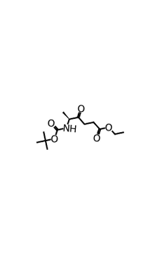 CCOC(=O)CCC(=O)[C@H](C)NC(=O)OC(C)(C)C